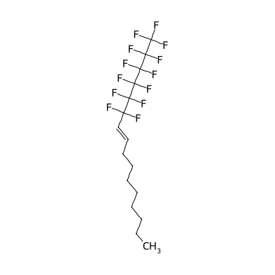 CCCCCCCCC=CC(F)(F)C(F)(F)C(F)(F)C(F)(F)C(F)(F)C(F)(F)F